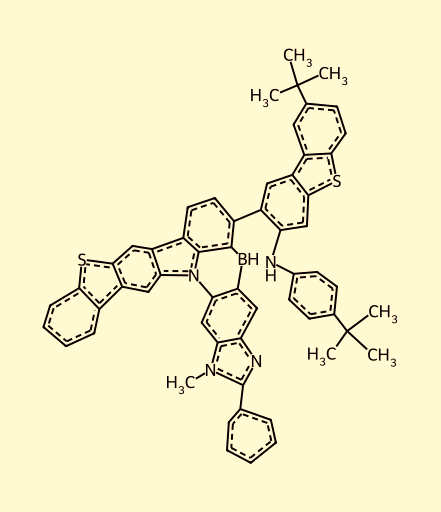 Cn1c(-c2ccccc2)nc2cc3c(cc21)-n1c2cc4c(cc2c2ccc(-c5cc6c(cc5Nc5ccc(C(C)(C)C)cc5)sc5ccc(C(C)(C)C)cc56)c(c21)B3)sc1ccccc14